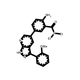 CCN(CC)C(=O)c1cc(-c2cnc3[nH]nc(-c4ccccc4OC)c3c2)ccc1N